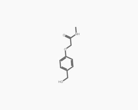 CNC(=O)COc1ccc(CO)cc1